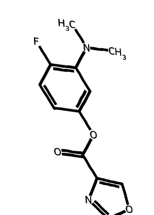 CN(C)c1cc(OC(=O)c2cocn2)ccc1F